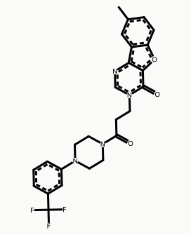 Cc1ccc2oc3c(=O)n(CCC(=O)N4CCN(c5cccc(C(F)(F)F)c5)CC4)cnc3c2c1